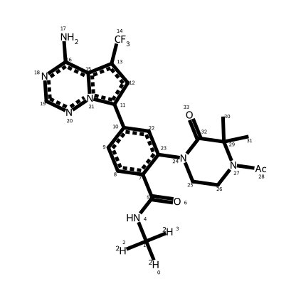 [2H]C([2H])([2H])NC(=O)c1ccc(-c2cc(C(F)(F)F)c3c(N)ncnn23)cc1N1CCN(C(C)=O)C(C)(C)C1=O